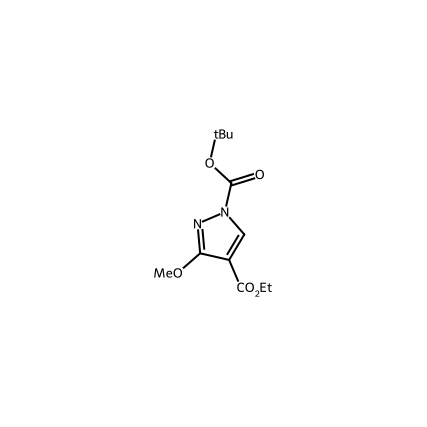 CCOC(=O)c1cn(C(=O)OC(C)(C)C)nc1OC